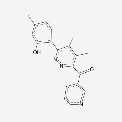 Cc1ccc(-c2nnc(C(=O)c3cccnc3)c(C)c2C)c(O)c1